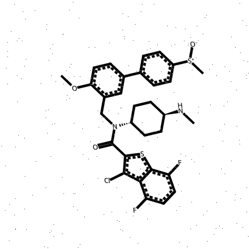 CN[C@H]1CC[C@H](N(Cc2cc(-c3ccc([S+](C)[O-])cc3)ccc2OC)C(=O)c2sc3c(F)ccc(F)c3c2Cl)CC1